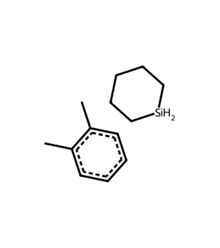 C1CC[SiH2]CC1.Cc1ccccc1C